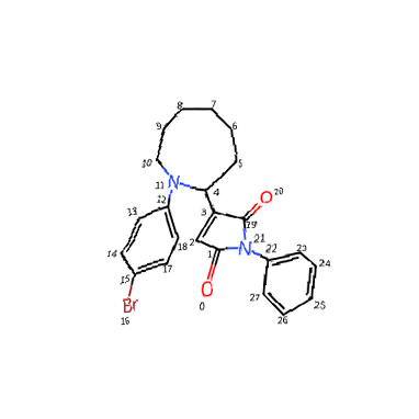 O=C1C=C(C2CCCCCCN2c2ccc(Br)cc2)C(=O)N1c1ccccc1